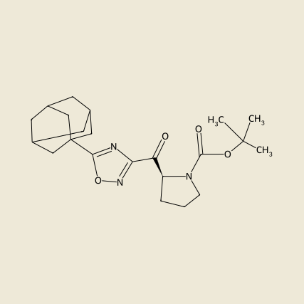 CC(C)(C)OC(=O)N1CCC[C@H]1C(=O)c1noc(C23CC4CC(CC(C4)C2)C3)n1